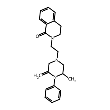 C=C1CN(CCN2CCc3ccccc3C2=O)CC(C)N1c1ccccc1